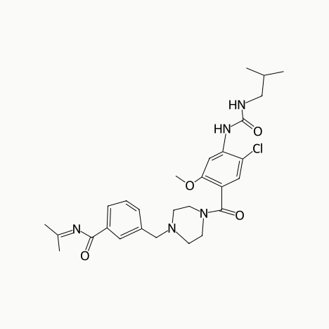 COc1cc(NC(=O)NCC(C)C)c(Cl)cc1C(=O)N1CCN(Cc2cccc(C(=O)N=C(C)C)c2)CC1